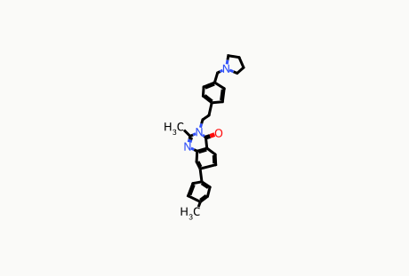 Cc1ccc(-c2ccc3c(=O)n(CCc4ccc(CN5CCCC5)cc4)c(C)nc3c2)cc1